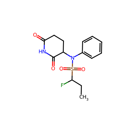 CCC(F)S(=O)(=O)N(c1ccccc1)C1CCC(=O)NC1=O